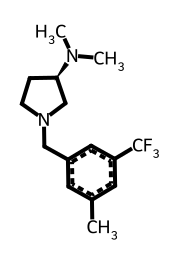 Cc1cc(CN2CC[C@@H](N(C)C)C2)cc(C(F)(F)F)c1